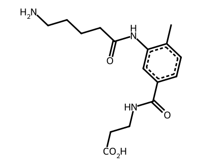 Cc1ccc(C(=O)NCCC(=O)O)cc1NC(=O)CCCCN